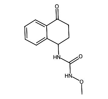 CONC(=O)NC1CCC(=O)c2ccccc21